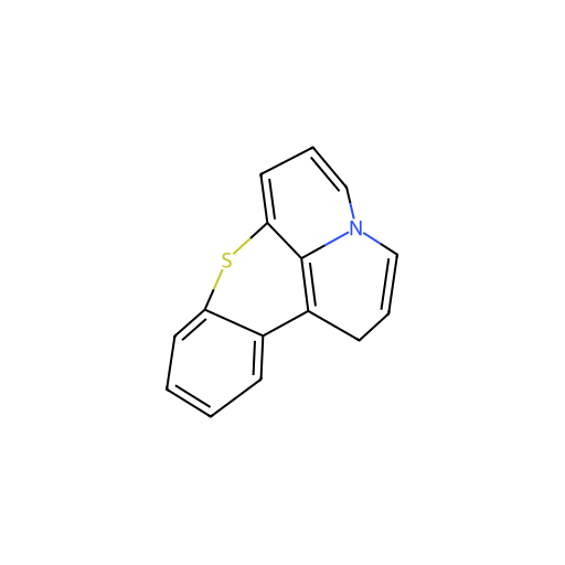 C1=CN2C=CCC3=C2C(=C1)Sc1ccccc13